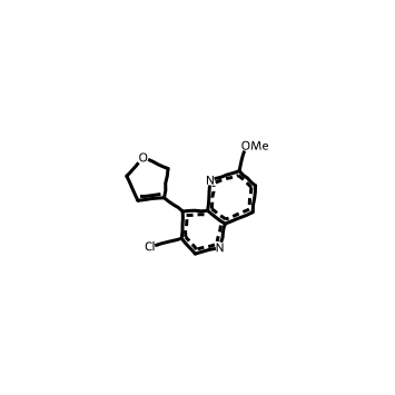 COc1ccc2ncc(Cl)c(C3=CCOC3)c2n1